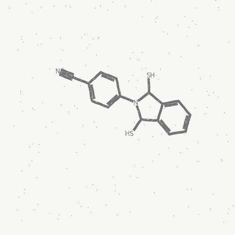 N#Cc1ccc(N2C(S)c3ccccc3C2S)cc1